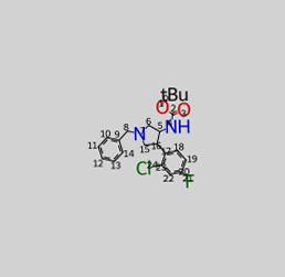 CC(C)(C)OC(=O)NC1CN(Cc2ccccc2)CC1c1ccc(F)cc1Cl